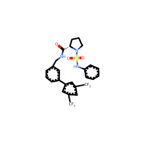 O=C(NCc1cccc(-c2cc(C(F)(F)F)cc(C(F)(F)F)c2)c1)[C@@H]1CCCN1S(=O)(=O)Nc1ccccc1